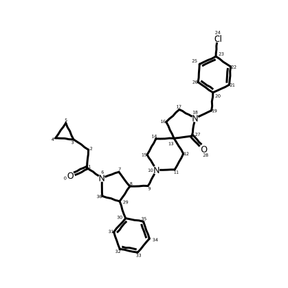 O=C(CC1CC1)N1CC(CN2CCC3(CC2)CCN(Cc2ccc(Cl)cc2)C3=O)C(c2ccccc2)C1